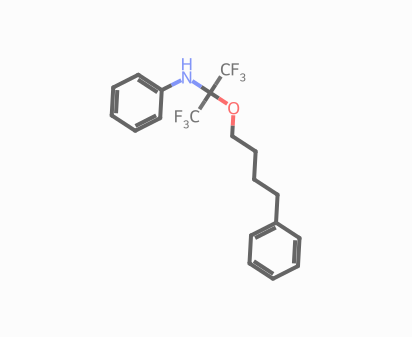 FC(F)(F)C(Nc1ccccc1)(OCCCCc1ccccc1)C(F)(F)F